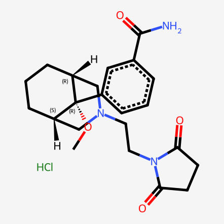 CO[C@@]1(c2cccc(C(N)=O)c2)[C@@H]2CCC[C@H]1CN(CCN1C(=O)CCC1=O)C2.Cl